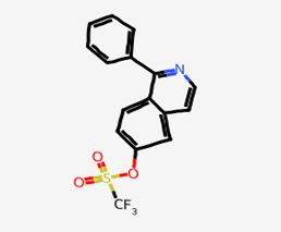 O=S(=O)(Oc1ccc2c(-c3ccccc3)nccc2c1)C(F)(F)F